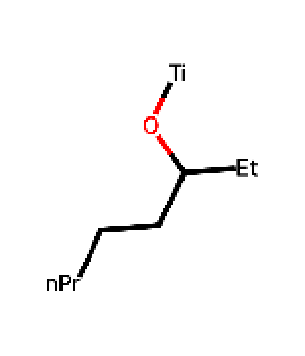 CCCCCC(CC)[O][Ti]